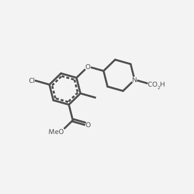 COC(=O)c1cc(Cl)cc(OC2CCN(C(=O)O)CC2)c1C